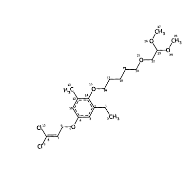 CCc1cc(OCC=C(Cl)Cl)cc(C)c1OCCCCCOCC(OC)OC